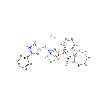 O=C(OC1C[N+]2(Cc3nc(-c4ccccc4)no3)CCC1CC2)C1(c2ccccc2)CCCCCC1.[Cl-]